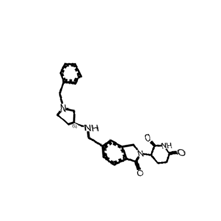 O=C1CCC(N2Cc3cc(CN[C@H]4CCN(Cc5ccccc5)C4)ccc3C2=O)C(=O)N1